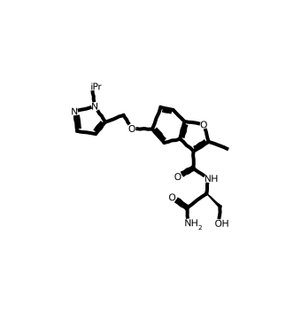 Cc1oc2ccc(OCc3ccnn3C(C)C)cc2c1C(=O)N[C@@H](CO)C(N)=O